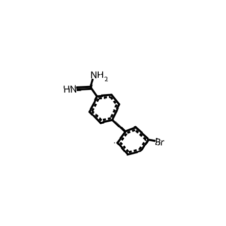 N=C(N)c1ccc(-c2[c]ccc(Br)c2)cc1